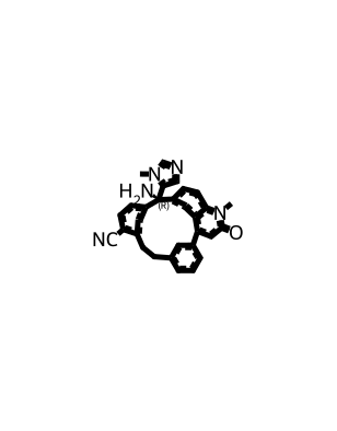 Cn1cncc1[C@@]1(N)c2ccc(C#N)c(c2)CCc2cccc(c2)-c2cc(=O)n(C)c3ccc1cc23